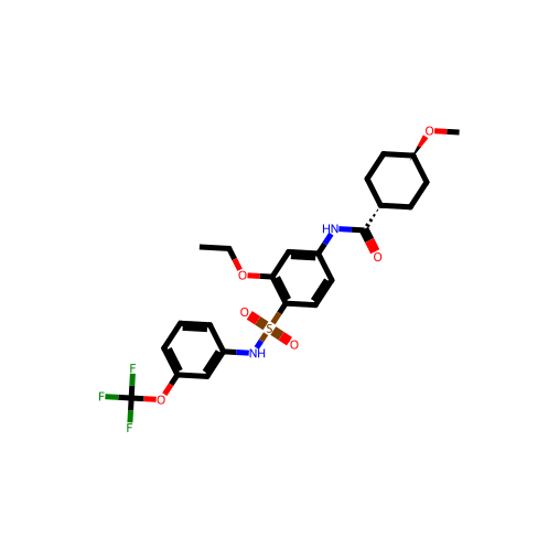 CCOc1cc(NC(=O)[C@H]2CC[C@H](OC)CC2)ccc1S(=O)(=O)Nc1cccc(OC(F)(F)F)c1